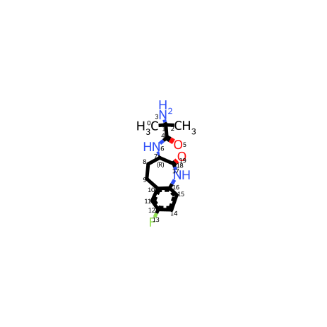 CC(C)(N)C(=O)N[C@@H]1CCc2cc(F)ccc2NC1=O